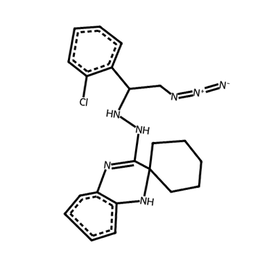 [N-]=[N+]=NCC(NNC1=Nc2ccccc2NC12CCCCC2)c1ccccc1Cl